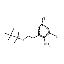 CC(C)(C)[Si](C)(C)OCCc1nc(Cl)cc(Br)c1N